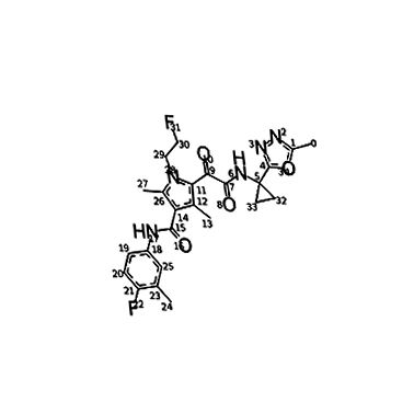 Cc1nnc(C2(NC(=O)C(=O)c3c(C)c(C(=O)Nc4ccc(F)c(C)c4)c(C)n3CCF)CC2)o1